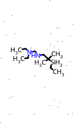 CC[SiH2]C(C)(C)CNCN(CC)CC